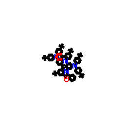 CC(C)(C)C1=CCC(N(c2ccc(C(C)(C)C)cc2)c2ccc3c(c2)N(c2ccc(C(C)(C)C)cc2-c2ccccc2)c2cc(N(c4ccc(C(C)(C)C)cc4)C4C=CC(C(C)(C)C)=CC4)cc4c2B3c2cc(C(C)(C)C)cc3c5oc6ccccc6c5n-4c23)C=C1